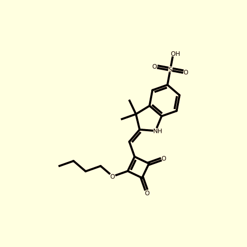 CCCCOc1c(C=C2Nc3ccc(S(=O)(=O)O)cc3C2(C)C)c(=O)c1=O